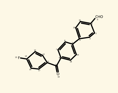 O=Cc1ccc(-c2ccc(C(=O)c3ccc(F)cc3)cc2)cc1